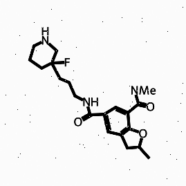 CNC(=O)c1cc(C(=O)NCCCC2(F)CCCNC2)cc2c1OC(C)C2